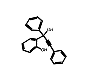 Oc1ccccc1C(O)(C#Cc1ccccc1)c1ccccc1